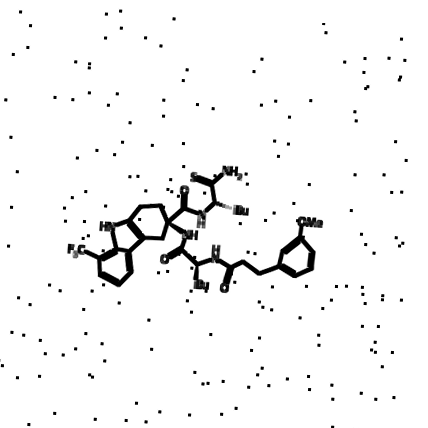 CCC(C)[C@H](NC(=O)CCc1cccc(OC)c1)C(=O)N[C@]1(C(=O)NC(C(N)=S)[C@@H](C)CC)CCc2[nH]c3c(C(F)(F)F)cccc3c2C1